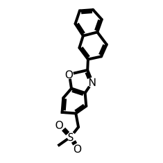 CS(=O)(=O)Cc1ccc2oc(-c3ccc4ccccc4c3)nc2c1